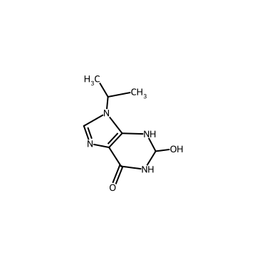 CC(C)n1cnc2c1NC(O)NC2=O